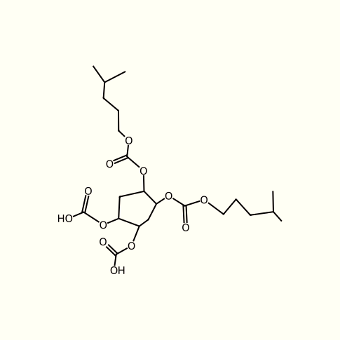 CC(C)CCCOC(=O)OC1CC(OC(=O)O)C(OC(=O)O)CC1OC(=O)OCCCC(C)C